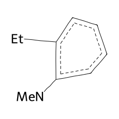 [CH2]Cc1ccccc1NC